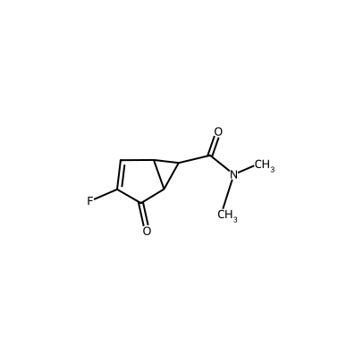 CN(C)C(=O)C1C2C=C(F)C(=O)C21